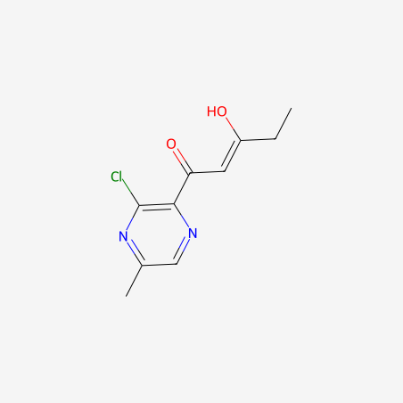 CC/C(O)=C/C(=O)c1ncc(C)nc1Cl